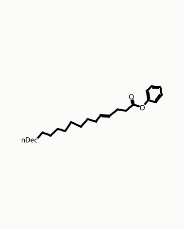 CCCCCCCCCCCCCCCCCCC=CCCC(=O)Oc1ccccc1